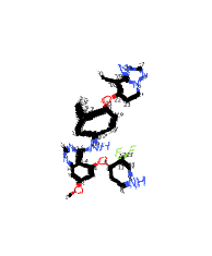 COc1cc(O[C@H]2CCNCC2(F)F)c2c(Nc3ccc(Oc4ccn5ncnc5c4C)c(C)c3)ncnc2c1